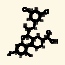 Cc1cc(F)ccc1N1CCN(C(=O)O)CC1C(=O)N(C)Cc1cc(Cl)cc(Cl)c1